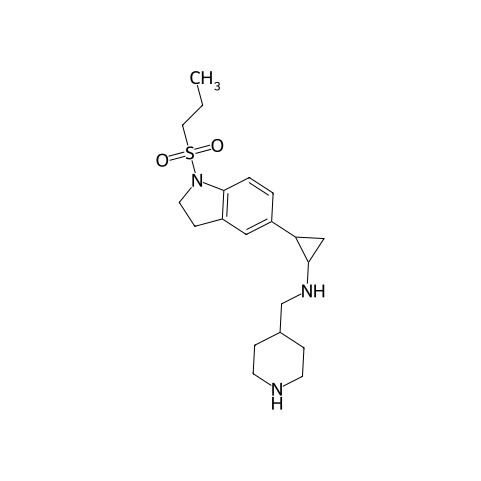 CCCS(=O)(=O)N1CCc2cc(C3CC3NCC3CCNCC3)ccc21